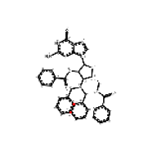 Nc1nc2c(ncn2C2O[C@H](COC(=O)c3ccccc3)C(N(Cc3ccccc3)Cc3ccccc3)C2OC(=O)c2ccccc2)c(=O)[nH]1